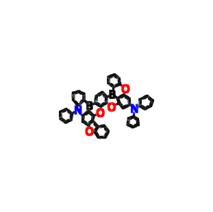 c1ccc(N(c2ccccc2)c2cc3c4c(c2)Oc2c(ccc5c2Oc2c6c(cc7oc8ccccc8c27)N(c2ccccc2)c2ccccc2B56)B4c2ccccc2O3)cc1